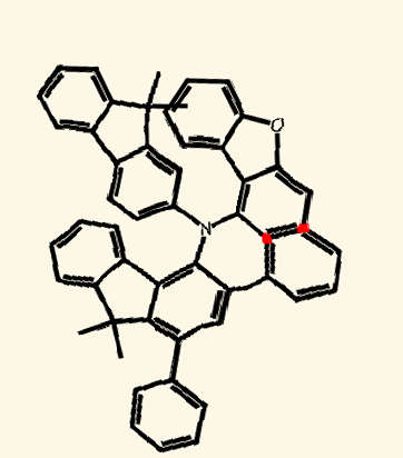 CC1(C)c2ccccc2-c2ccc(N(c3c(-c4ccccc4)cc(-c4ccccc4)c4c3-c3ccccc3C4(C)C)c3cccc4oc5ccccc5c34)cc21